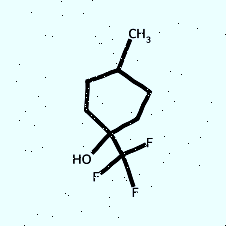 CC1CCC(O)(C(F)(F)F)CC1